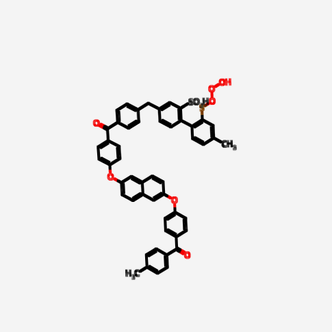 Cc1ccc(C(=O)c2ccc(Oc3ccc4cc(Oc5ccc(C(=O)c6ccc(Cc7ccc(-c8ccc(C)cc8SOOO)c(S(=O)(=O)O)c7)cc6)cc5)ccc4c3)cc2)cc1